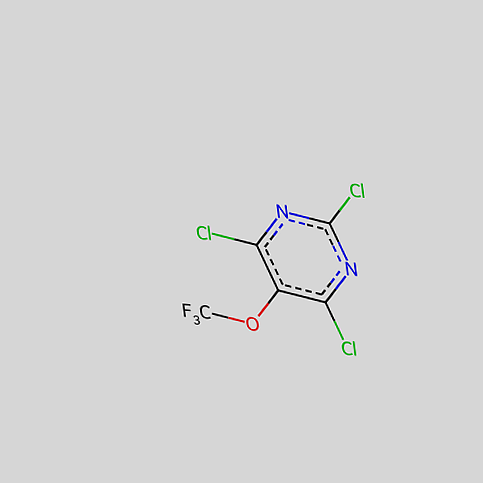 FC(F)(F)Oc1c(Cl)nc(Cl)nc1Cl